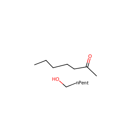 CCCCCC(C)=O.CCCCCCO